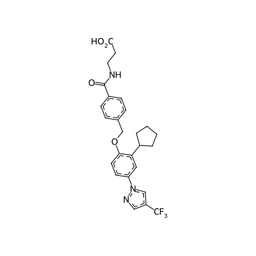 O=C(O)CCNC(=O)c1ccc(COc2ccc(-n3cc(C(F)(F)F)cn3)cc2C2CCCC2)cc1